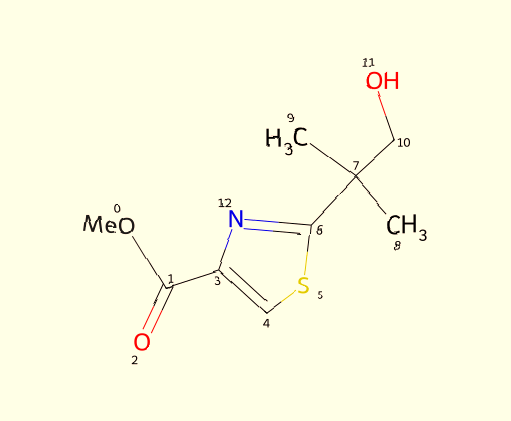 COC(=O)c1csc(C(C)(C)CO)n1